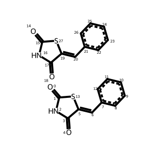 O=C1NC(=O)C(=Cc2ccccc2)S1.O=C1NC(=O)C(=Cc2ccccc2)S1